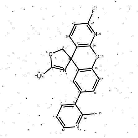 NC1=NC2(CO1)c1cc(-c3cccnc3F)ccc1Oc1nc(F)ccc12